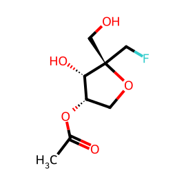 CC(=O)O[C@H]1CO[C@@](CO)(CF)[C@H]1O